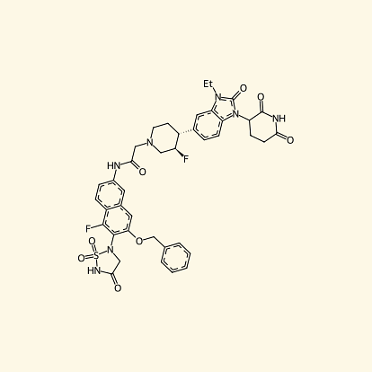 CCn1c(=O)n(C2CCC(=O)NC2=O)c2ccc([C@H]3CCN(CC(=O)Nc4ccc5c(F)c(N6CC(=O)NS6(=O)=O)c(OCc6ccccc6)cc5c4)C[C@@H]3F)cc21